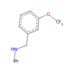 CC(C)NCc1cccc(OC(F)(F)F)c1